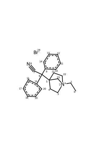 CC[N+]12CCC(C(C#N)(c3ccccc3)c3ccccc3)(CC1)C2.[Br-]